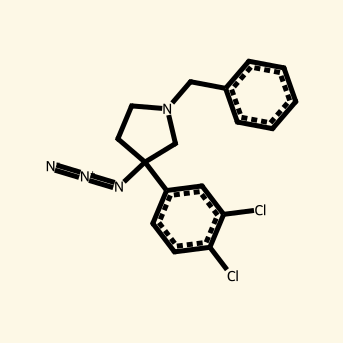 [N-]=[N+]=NC1(c2ccc(Cl)c(Cl)c2)CCN(Cc2ccccc2)C1